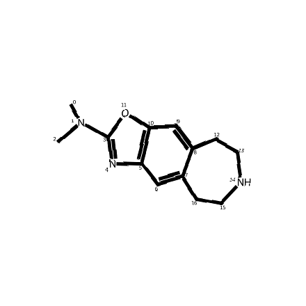 CN(C)c1nc2cc3c(cc2o1)CCNCC3